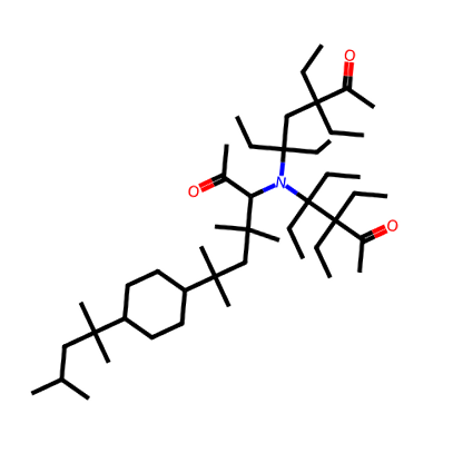 CCC(CC)(CC(CC)(CC)N(C(C(C)=O)C(C)(C)CC(C)(C)C1CCC(C(C)(C)CC(C)C)CC1)C(CC)(CC)C(CC)(CC)C(C)=O)C(C)=O